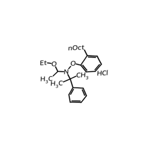 CCCCCCCCc1ccccc1ON(C(C)OCC)C(C)(C)c1ccccc1.Cl